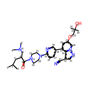 CC(C)CC(CN(C)C)C(=O)N1CCN(c2ccc(-c3cc(OCC(C)(C)O)cn4ncc(C#N)c34)cn2)CC1